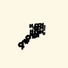 CC(C)(C)O/N=C/c1c(N)ncnc1Nc1ccc2c(cnn2Cc2cccc(F)c2)c1